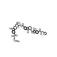 COCCNC(=O)c1ccc2[nH]c3c(c2c1)CCC(CN(C)C(=O)COC(=O)c1ccc2[nH]c4c(c2c1)CCCC4Cc1[nH]c2ccc(C(=O)NCC4CCCO4)cc2c1C)C3